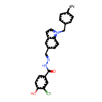 CC(C)c1ccc(Cn2ccc3cc(/C=N/NC(=O)c4ccc(O)c(Cl)c4)ccc32)cc1